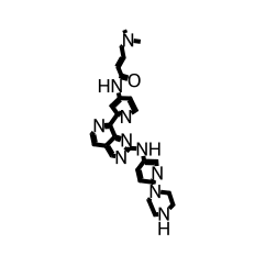 CN(C)CC=CC(=O)Nc1ccnc(-c2nccc3cnc(Nc4ccc(N5CCNCC5)nc4)nc23)c1